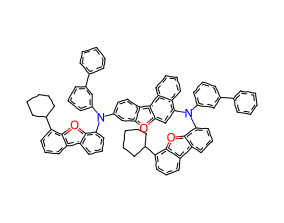 c1ccc(-c2cccc(N(c3ccc4c(c3)oc3cc(N(c5cccc(-c6ccccc6)c5)c5cccc6c5oc5c(C7CCCCC7)cccc56)c5ccccc5c34)c3cccc4c3oc3c(C5CCCCC5)cccc34)c2)cc1